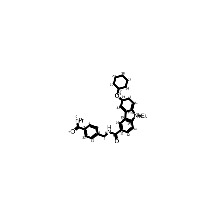 CCCC(=O)c1ccc(CNC(=O)c2ccc3c(c2)c2c(n3CC)=CCC(OC3CCCCC3)C=2)cc1